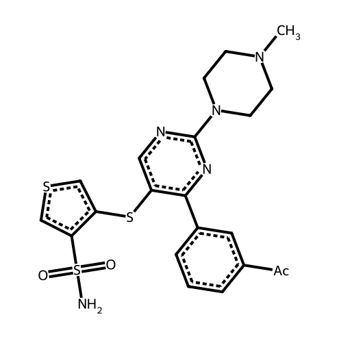 CC(=O)c1cccc(-c2nc(N3CCN(C)CC3)ncc2Sc2cscc2S(N)(=O)=O)c1